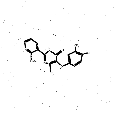 COc1ncccc1-c1nc(C(F)(F)F)c(Oc2ccc(Cl)c(C(F)(F)F)c2)c(=O)[nH]1